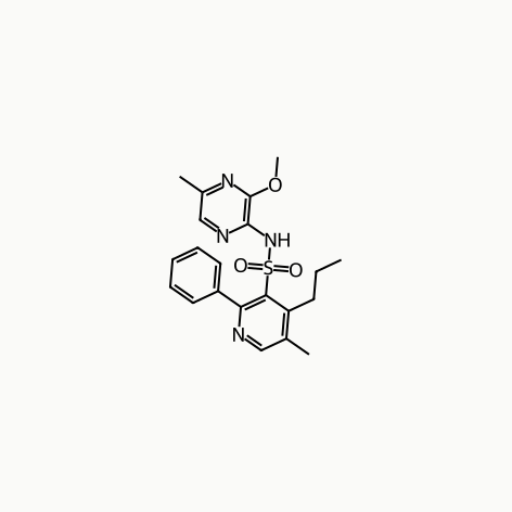 CCCc1c(C)cnc(-c2ccccc2)c1S(=O)(=O)Nc1ncc(C)nc1OC